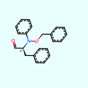 O=[C][C@H](Cc1ccccc1)N(OCc1ccccc1)c1ccccc1